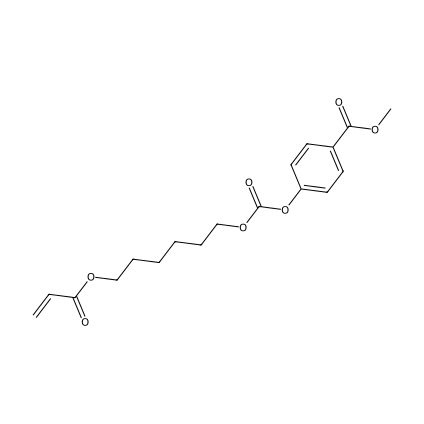 C=CC(=O)OCCCCCCOC(=O)Oc1ccc(C(=O)OC)cc1